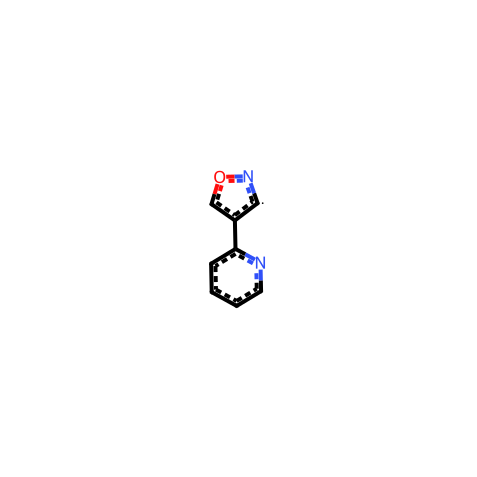 [c]1nocc1-c1ccccn1